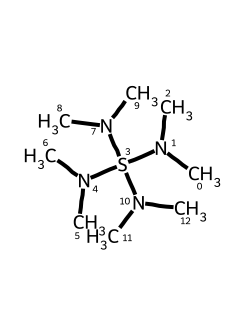 CN(C)S(N(C)C)(N(C)C)N(C)C